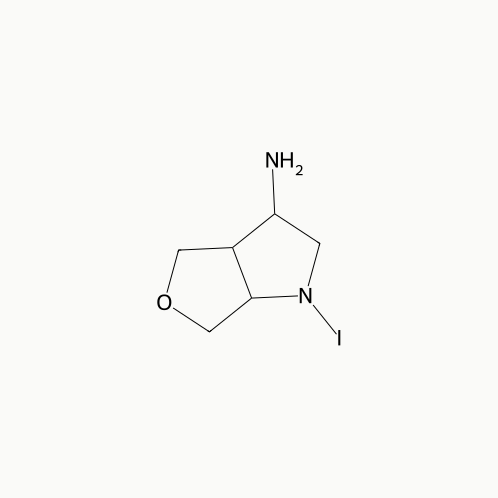 NC1CN(I)C2COCC12